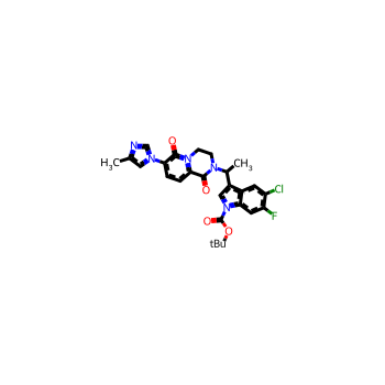 Cc1cn(-c2ccc3n(c2=O)CCN(C(C)c2cn(C(=O)OC(C)(C)C)c4cc(F)c(Cl)cc24)C3=O)cn1